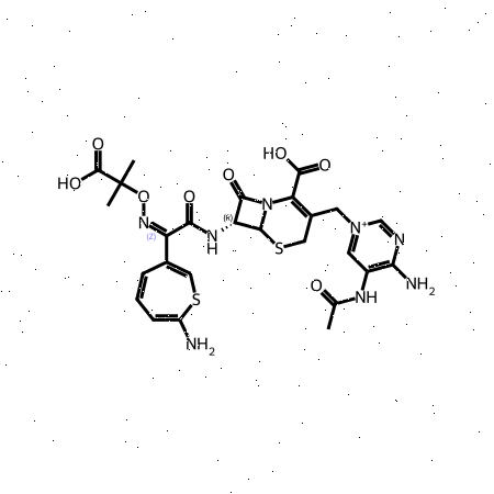 CC(=O)Nc1c[n+](CC2=C(C(=O)O)N3C(=O)[C@@H](NC(=O)/C(=N\OC(C)(C)C(=O)O)C4=CSC(N)=CC=C4)C3SC2)cnc1N